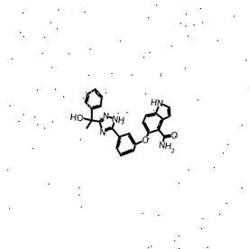 CC(O)(c1ccccc1)c1n[nH]c(-c2cccc(Oc3ccc4[nH]ccc4c3C(N)=O)c2)n1